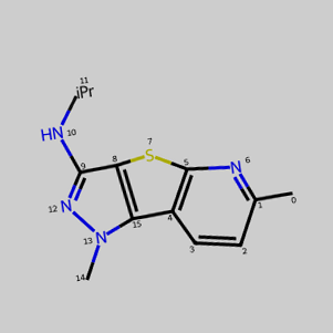 Cc1ccc2c(n1)sc1c(NC(C)C)nn(C)c12